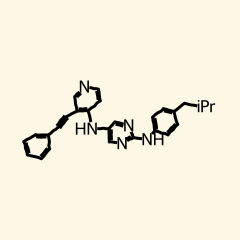 CC(C)Cc1ccc(Nc2ncc(Nc3ccncc3C#Cc3ccccc3)cn2)cc1